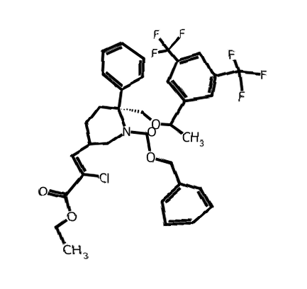 CCOC(=O)/C(Cl)=C/C1CC[C@@](COC(C)c2cc(C(F)(F)F)cc(C(F)(F)F)c2)(c2ccccc2)N(C(=O)OCc2ccccc2)C1